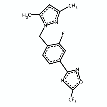 Cc1cc(C)n(Cc2ccc(-c3noc(C(F)(F)F)n3)cc2F)n1